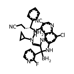 BC(Nc1cc(Cl)c2ncc(C#N)c(N[C@H](CCC#N)c3ccccc3)c2c1)(/C(N)=C/N(N)C1CC1)c1cccnc1F